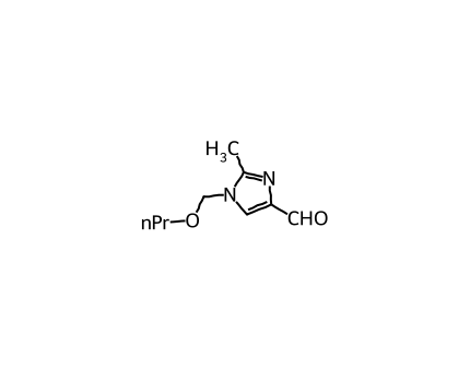 CCCOCn1cc(C=O)nc1C